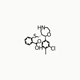 O=C(O)c1ccccc1SC[C@@H]1CNCCO[C@H]1c1ccc(I)c(Cl)c1